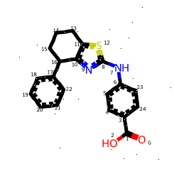 O=C(O)c1ccc(Nc2nc3c(s2)CCCC3c2ccccc2)cc1